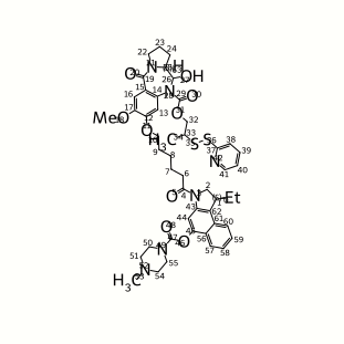 CC[C@@H]1CN(C(=O)CCCCCOc2cc3c(cc2OC)C(=O)N2CCC[C@H]2C(O)N3C(=O)OCC(C)SSc2ccccn2)c2cc(OC(=O)N3CCN(C)CC3)c3ccccc3c21